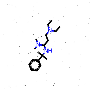 CCN(CC)CCC(NC(C)(C)c1ccccc1)N(C)C